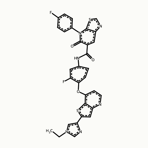 CCn1cnc(-c2cc3nccc(Oc4ccc(NC(=O)c5cc6ncsc6n(-c6ccc(F)cc6)c5=O)cc4F)c3s2)c1